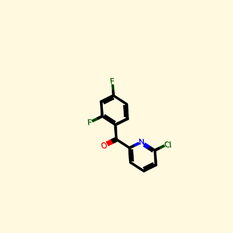 O=C(c1cccc(Cl)n1)c1ccc(F)cc1F